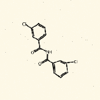 O=C(NC(=O)c1cccc(Cl)c1)c1cccc(Cl)c1